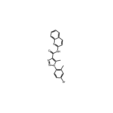 Cc1cc(Br)ccc1-n1nnc(C(=O)Nc2ccc3ccccc3n2)c1C